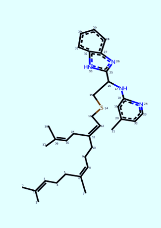 CC(C)=CCCC(C)=CCCC(=CCSCC(Nc1cc(C)ccn1)c1nc2ccccc2[nH]1)CC=C(C)C